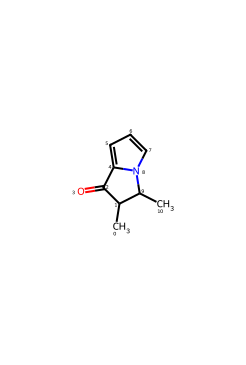 CC1C(=O)c2cccn2C1C